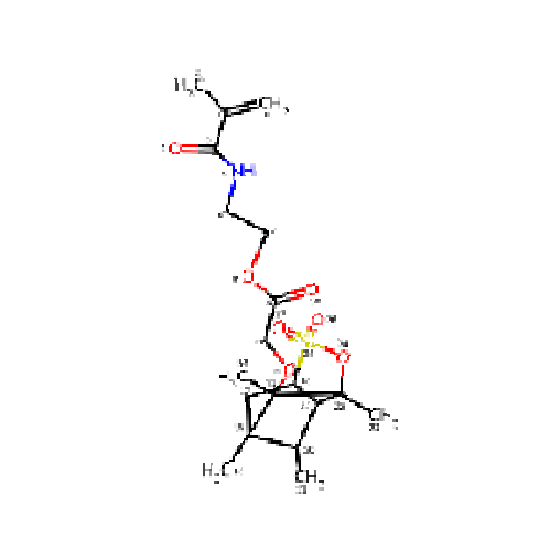 C=C(C)C(=O)NCCOC(=O)COC1(C)C2(C)CC3C(C2C)C1(C)OS3(=O)=O